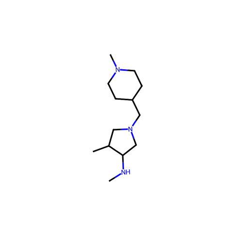 CNC1CN(CC2CCN(C)CC2)CC1C